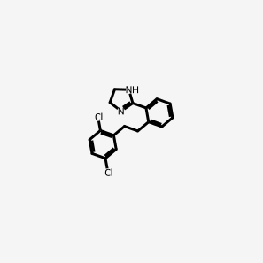 Clc1ccc(Cl)c(CCc2ccccc2C2=NCCN2)c1